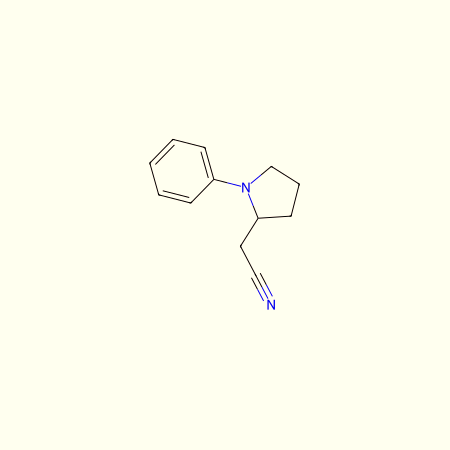 N#CCC1CCCN1c1ccccc1